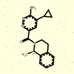 C[C@@H]1c2ccccc2CCN1C(=O)c1cc(C2CC2)c(N)nn1